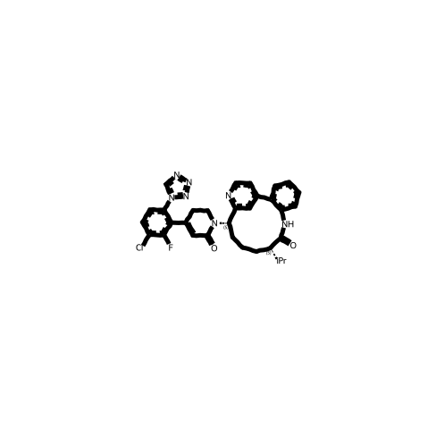 CC(C)[C@@H]1CCC[C@H](N2CCC(c3c(-n4cnnn4)ccc(Cl)c3F)=CC2=O)c2cc(ccn2)-c2ccccc2NC1=O